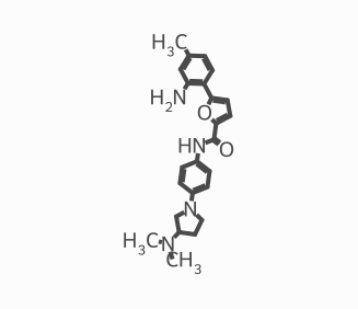 Cc1ccc(-c2ccc(C(=O)Nc3ccc(N4CCC(N(C)C)C4)cc3)o2)c(N)c1